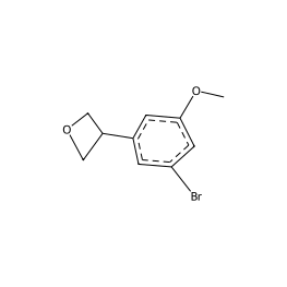 COc1cc(Br)cc(C2COC2)c1